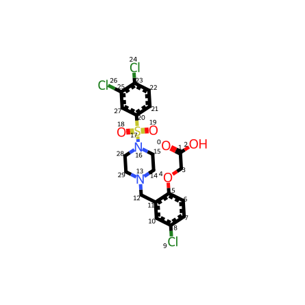 O=C(O)COc1ccc(Cl)cc1CN1CCN(S(=O)(=O)c2ccc(Cl)c(Cl)c2)CC1